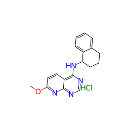 COc1ccc2c(NC3CCCc4ccccc43)ncnc2n1.Cl